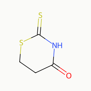 O=C1CCSC(=S)N1